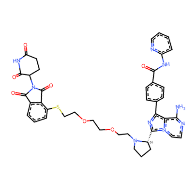 Nc1nccn2c([C@@H]3CCCN3CCOCCOCCSc3cccc4c3C(=O)N(C3CCC(=O)NC3=O)C4=O)nc(-c3ccc(C(=O)Nc4ccccn4)cc3)c12